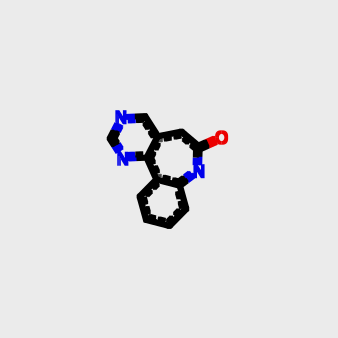 O=c1cc2cncnc2c2ccccc2n1